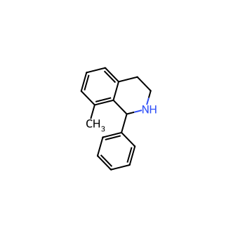 Cc1cccc2c1C(c1ccccc1)NCC2